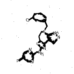 Fc1cnc(Nc2nc3c(s2)CCN(Cc2cccc(Cl)c2)c2[nH]ncc2-3)nc1